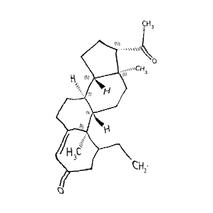 [CH2]CC1CC(=O)C=C2CC[C@H]3[C@@H]4CC[C@H](C(C)=O)[C@@]4(C)CC[C@@H]3[C@]21C